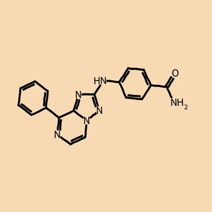 NC(=O)c1ccc(Nc2nc3c(-c4ccccc4)nccn3n2)cc1